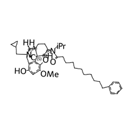 COc1cc(O)c2c3c1O[C@H]1[C@H](N(C(=O)CCCCCCCCCCc4ccccc4)C(C)C)CC[C@H]4[C@@H](C2)N(CC2CC2)CC[C@@]341